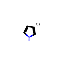 [Os].c1cc[nH]c1